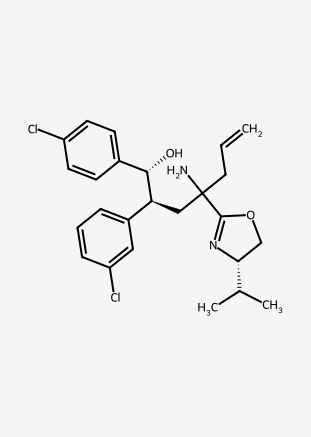 C=CCC(N)(C[C@@H](c1cccc(Cl)c1)[C@@H](O)c1ccc(Cl)cc1)C1=N[C@@H](C(C)C)CO1